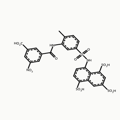 Cc1ccc(S(=O)(=O)Nc2ccc(S(=O)(=O)O)c3cc(S(=O)(=O)O)cc(S(=O)(=O)O)c23)cc1NC(=O)c1cc(C(=O)O)cc([N+](=O)[O-])c1